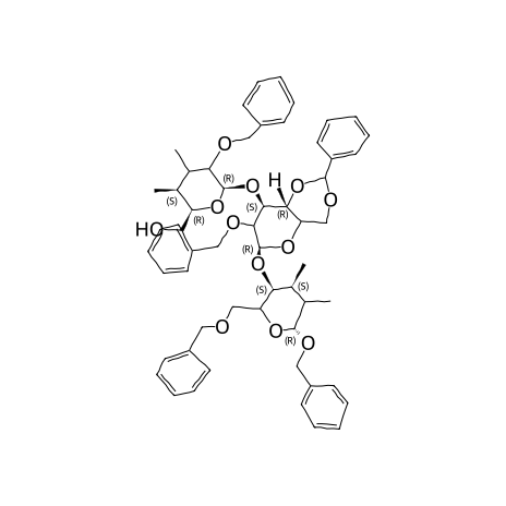 CC1C(OCc2ccccc2)[C@@H](O[C@@H]2C(OCc3ccccc3)[C@H](O[C@@H]3C(COCc4ccccc4)O[C@@H](OCc4ccccc4)C(C)[C@@H]3C)OC3COC(c4ccccc4)O[C@H]32)O[C@@H](CO)[C@H]1C